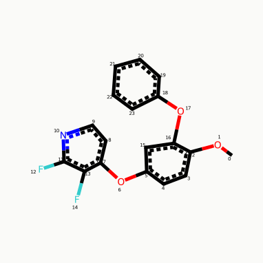 COc1ccc(Oc2ccnc(F)c2F)cc1Oc1ccccc1